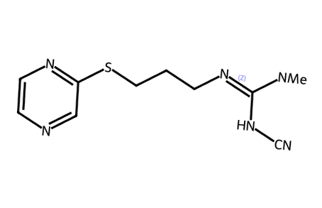 CN/C(=N/CCCSc1cnccn1)NC#N